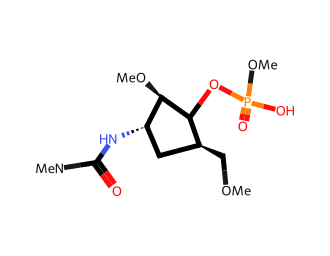 CNC(=O)N[C@H]1C[C@H](COC)C(OP(=O)(O)OC)[C@@H]1OC